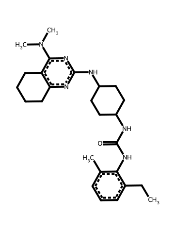 CCc1cccc(C)c1NC(=O)NC1CCC(Nc2nc3c(c(N(C)C)n2)CCCC3)CC1